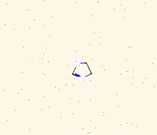 C1=NCCN1.[Co]